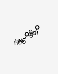 O=C(/C=C/c1cccc(S(=O)(=O)NCCc2ccccc2)c1)NO